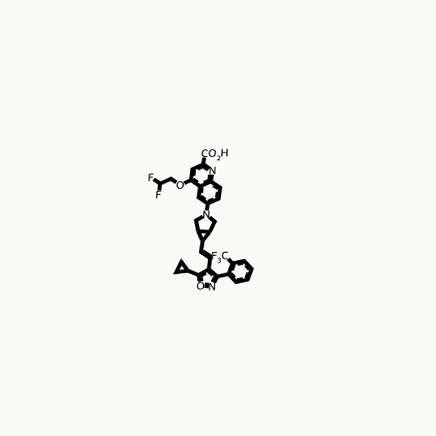 O=C(O)c1cc(OCC(F)F)c2cc(N3CC4C(/C=C/c5c(-c6ccccc6C(F)(F)F)noc5C5CC5)C4C3)ccc2n1